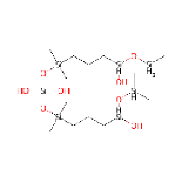 C[SiH2]O[SiH](O)CCC[Si](C)(C)O[Si](O)(O)O[Si](C)(C)CCC[SiH](O)O[SiH](C)C